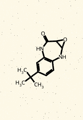 CC(C)(C)c1ccc2c(c1)NC(=O)C1OC1N2